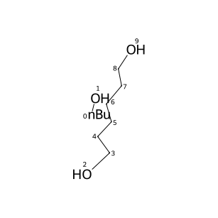 CCCCO.OCCCCCCO